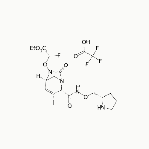 CCOC(=O)[C@H](F)ON1C(=O)N2C[C@H]1C=C(C)[C@H]2C(=O)NOC[C@@H]1CCCN1.O=C(O)C(F)(F)F